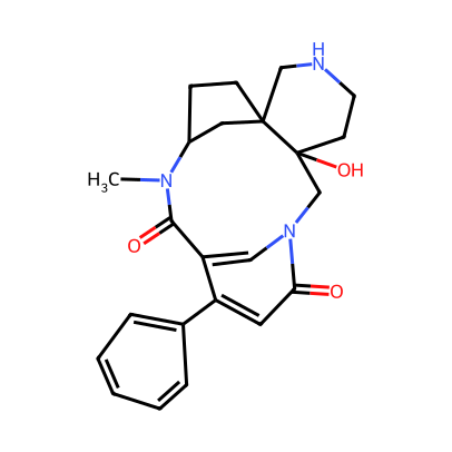 CN1C(=O)c2cn(c(=O)cc2-c2ccccc2)CC2(O)CCNCC23CCC1C3